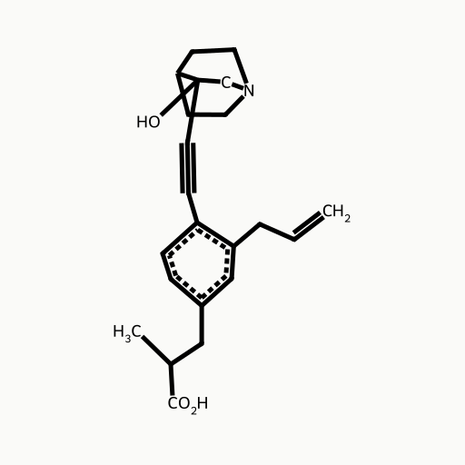 C=CCc1cc(CC(C)C(=O)O)ccc1C#CC1(O)CN2CCC1CC2